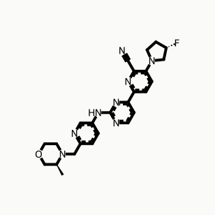 C[C@H]1COCCN1Cc1ccc(Nc2nccc(-c3ccc(N4CC[C@H](F)C4)c(C#N)n3)n2)cn1